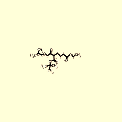 CCOC(=O)CCCC(C(=O)COCC(C)C)C(=O)OC(C)(C)C